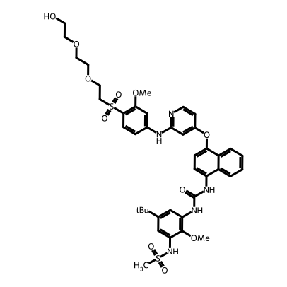 COc1cc(Nc2cc(Oc3ccc(NC(=O)Nc4cc(C(C)(C)C)cc(NS(C)(=O)=O)c4OC)c4ccccc34)ccn2)ccc1S(=O)(=O)CCOCCOCCO